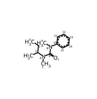 CCC(C)N(C)C(=O)N(C)c1ccccc1